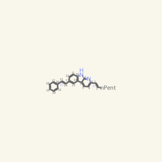 CCCCC/C=C/c1ccc2c(n1)[nH]c1ccc(/C=C/c3ccccc3)cc12